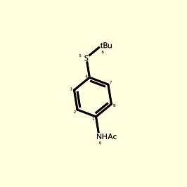 CC(=O)Nc1ccc(SC(C)(C)C)cc1